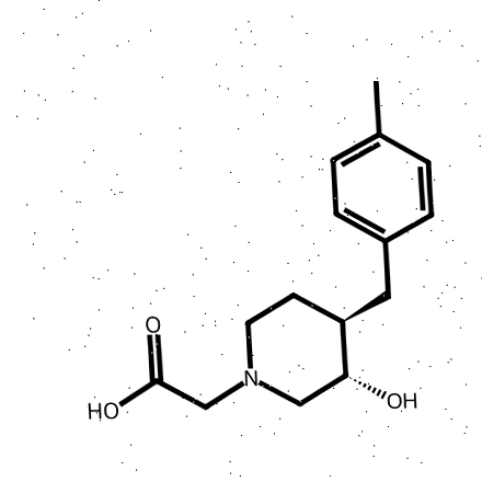 Cc1ccc(C[C@@H]2CCN(CC(=O)O)C[C@H]2O)cc1